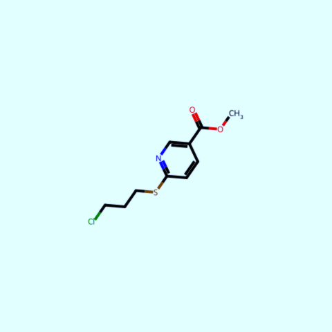 COC(=O)c1ccc(SCCCCl)nc1